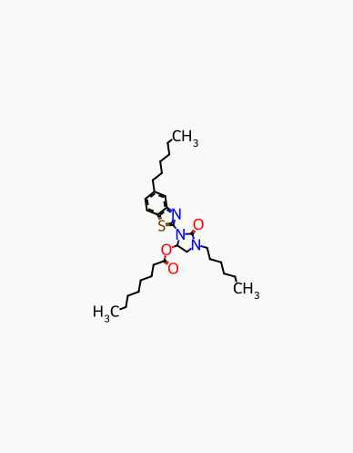 CCCCCCCC(=O)OC1CN(CCCCCC)C(=O)N1c1nc2cc(CCCCCC)ccc2s1